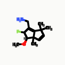 CO[C@H]1C(F)C(CN)=C2C(C)(C)C=CC21C